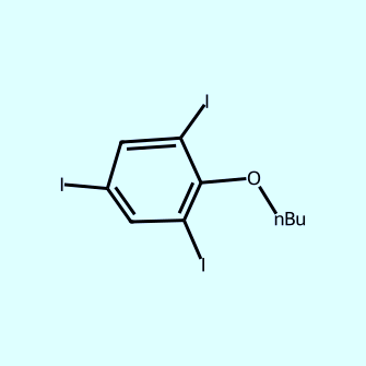 CCCCOc1c(I)cc(I)cc1I